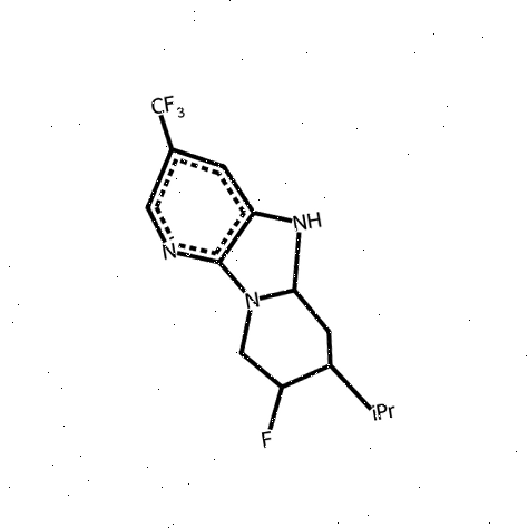 CC(C)C1CC2Nc3cc(C(F)(F)F)cnc3N2CC1F